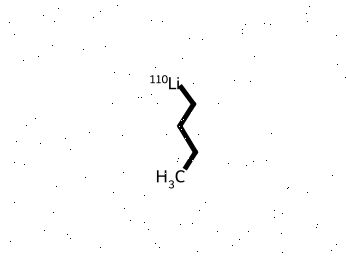 [110Li][CH2]CCC